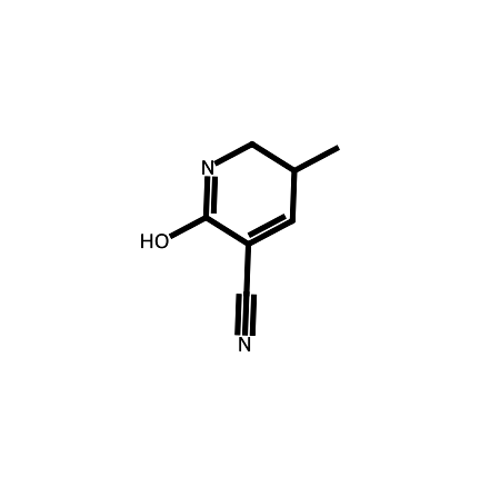 CC1C=C(C#N)C(O)=NC1